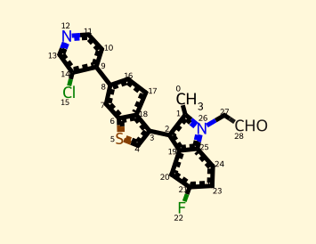 Cc1c(-c2csc3cc(-c4ccncc4Cl)ccc23)c2cc(F)ccc2n1CC=O